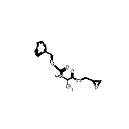 C[C@H](NC(=O)OCc1ccccc1)C(=O)OCC1CO1